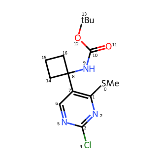 CSc1nc(Cl)ncc1C1(NC(=O)OC(C)(C)C)CCC1